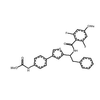 COC(=O)Nc1ccc(-c2csc(C(Cc3ccccc3)NC(=O)c3c(F)cc(OC)cc3F)c2)cc1